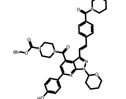 CC(C)(C)OC(=O)N1CCN(C(=O)c2cc(-c3ccc(O)cc3)nc3c2c(C=Cc2ccc(C(=O)N4CCCCC4)cc2)nn3C2CCCCO2)CC1